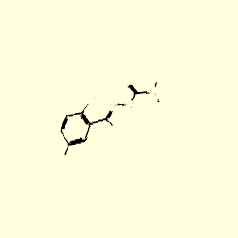 CC(=NNC(=S)N(C)C)c1cc(C)ccc1O